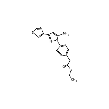 CCOC(=O)Cc1ccc(-n2nc(-c3cscn3)cc2N)cc1